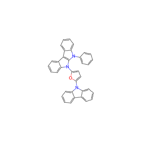 c1ccc(-n2c3ccccc3c3c4ccccc4n(-c4ccc(-n5c6ccccc6c6ccccc65)o4)c32)cc1